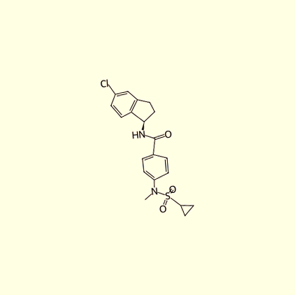 CN(c1ccc(C(=O)N[C@@H]2CCc3cc(Cl)ccc32)cc1)S(=O)(=O)C1CC1